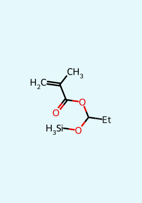 C=C(C)C(=O)OC(CC)O[SiH3]